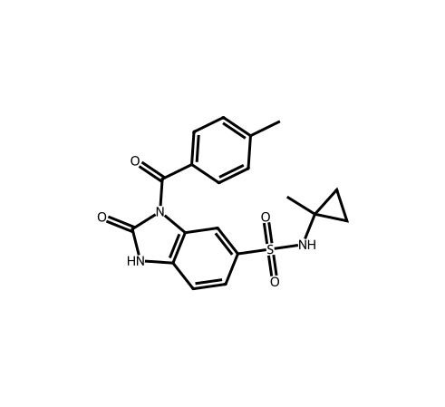 Cc1ccc(C(=O)n2c(=O)[nH]c3ccc(S(=O)(=O)NC4(C)CC4)cc32)cc1